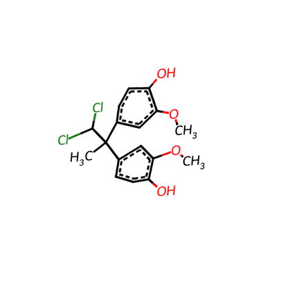 COc1cc(C(C)(c2ccc(O)c(OC)c2)C(Cl)Cl)ccc1O